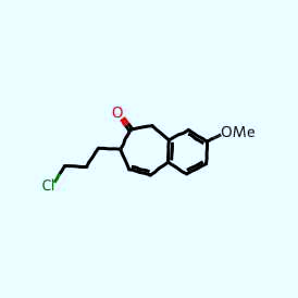 COc1ccc2c(c1)CC(=O)C(CCCCl)C=C2